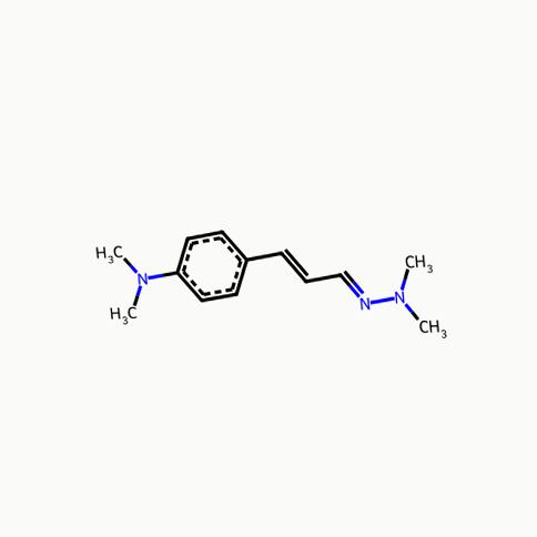 CN(C)N=CC=Cc1ccc(N(C)C)cc1